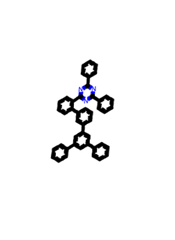 c1ccc(-c2cc(-c3ccccc3)cc(-c3cccc(-c4ccccc4-c4nc(-c5ccccc5)nc(-c5ccccc5)n4)c3)c2)cc1